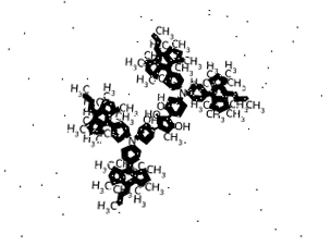 CCCCc1c2c(c(-c3ccc(N(c4ccc(-c5c6c(c(CCCC)c7c5C(C)(C)CC7(C)C)C(C)(C)CC6(C)C)cc4)c4ccc([C@H]5[C@@H](O)[C@@H](c6ccc(N(c7ccc(-c8c9c(c(CCCC)c%10c8C(C)(C)CC%10(C)C)C(C)(C)CC9(C)C)cc7)c7ccc(-c8c9c(c(CCCC)c%10c8C(C)(C)CC%10(C)C)C(C)(C)CC9(C)C)cc7)cc6O)C(O)[C@@H]5C)c(O)c4)cc3)c3c1C(C)(C)CC3(C)C)C(C)(C)CC2(C)C